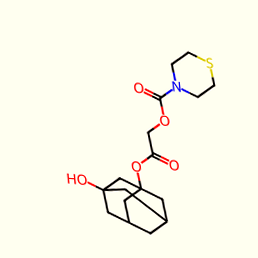 O=C(COC(=O)N1CCSCC1)OC12CC3CC(CC(O)(C3)C1)C2